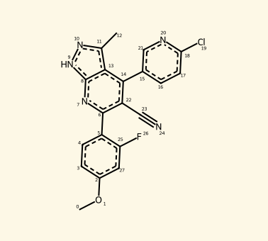 COc1ccc(-c2nc3[nH]nc(C)c3c(-c3ccc(Cl)nc3)c2C#N)c(F)c1